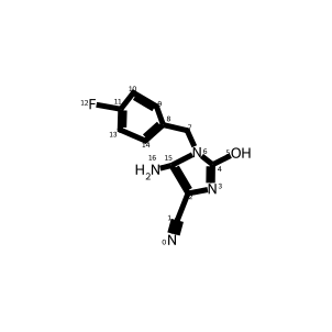 N#Cc1nc(O)n(Cc2ccc(F)cc2)c1N